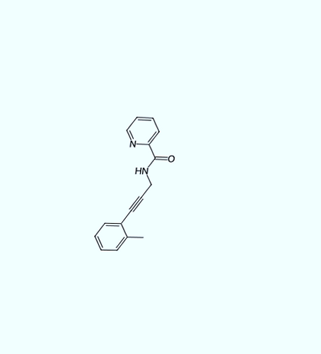 Cc1ccccc1C#CCNC(=O)c1ccccn1